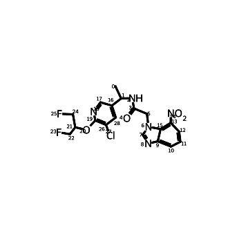 CC(NC(=O)Cn1cnc2cccc([N+](=O)[O-])c21)c1cnc(OC(CF)CF)c(Cl)c1